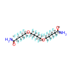 NC(=O)C(F)(F)C(F)(F)C(F)(F)C(F)(F)OC(F)(F)C(F)(F)C(F)(F)C(F)(F)OC(F)(F)C(F)(F)C(F)(F)C(F)(F)C(N)=O